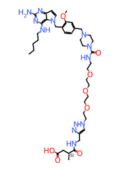 CCCCCNc1nc(N)nc2ccn(Cc3ccc(CN4CCN(C(=O)NCCOCCOCCOCCn5cc(CNC(=O)[C@@H](C)CC(=O)O)nn5)CC4)cc3OC)c12